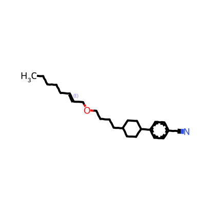 CCCCC/C=C/COCCCCC1CCC(c2ccc(C#N)cc2)CC1